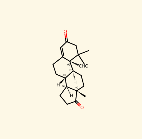 CC1(C)CC(=O)C=C2CC[C@@H]3[C@H](CC[C@]4(C)C(=O)CC[C@@H]34)[C@]21C=O